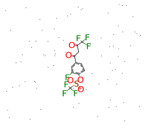 O=C(CC(=O)C(F)(F)F)c1ccc(OS(=O)(=O)C(F)(F)F)c(F)c1